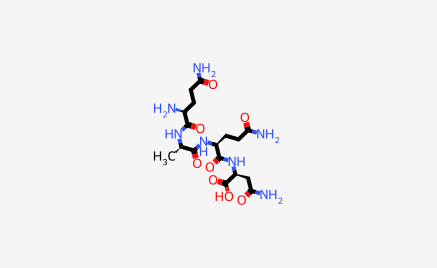 C[C@H](NC(=O)[C@@H](N)CCC(N)=O)C(=O)N[C@@H](CCC(N)=O)C(=O)N[C@@H](CC(N)=O)C(=O)O